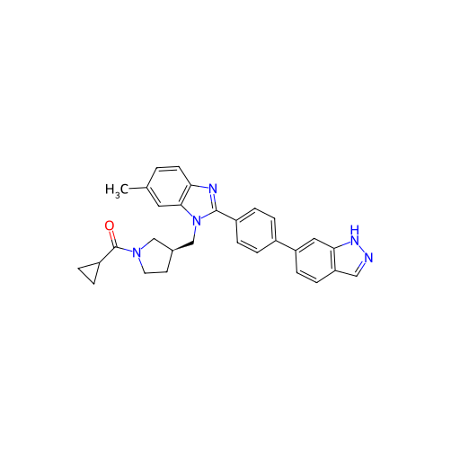 Cc1ccc2nc(-c3ccc(-c4ccc5cn[nH]c5c4)cc3)n(C[C@H]3CCN(C(=O)C4CC4)C3)c2c1